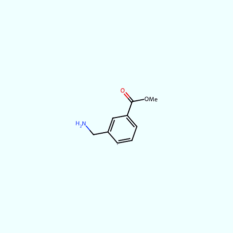 COC(=O)c1cc[c]c(CN)c1